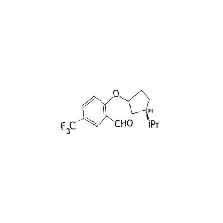 CC(C)[C@@H]1CCC(Oc2ccc(C(F)(F)F)cc2C=O)C1